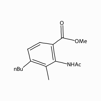 CCCCc1ccc(C(=O)OC)c(NC(C)=O)c1C